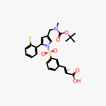 CN(Cc1cc(-c2ccccc2F)n(S(=O)(=O)c2cccc(/C=C/C(=O)O)c2)c1)C(=O)OC(C)(C)C